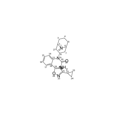 CN1C2CCCC1CC(N(C(N)=O)c1ccccc1-c1nc(C3CC3)no1)C2